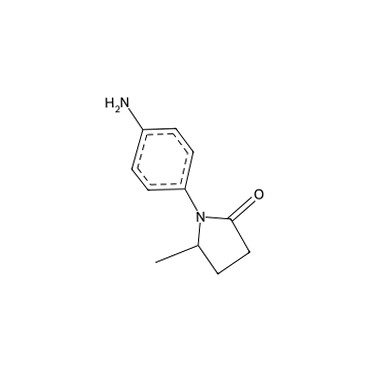 CC1CCC(=O)N1c1ccc(N)cc1